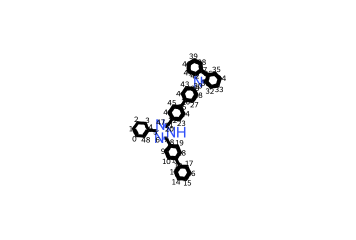 C1=CCCC(C2=NC(c3ccc(-c4ccccc4)cc3)NC(c3ccc(-c4ccc(-n5c6ccccc6c6ccccc65)cc4)cc3)=N2)=C1